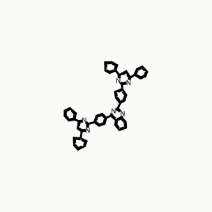 c1ccc(-c2cc(-c3ccccc3)nc(-c3ccc(-c4nc(-c5ccc(-c6nc(-c7ccccc7)cc(-c7ccccc7)n6)cc5)c5ccccc5n4)cc3)n2)cc1